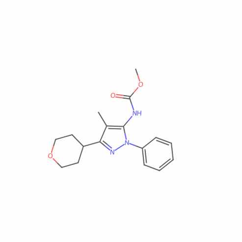 COC(=O)Nc1c(C)c(C2CCOCC2)nn1-c1ccccc1